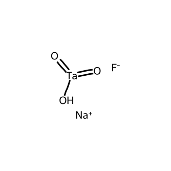 [F-].[Na+].[O]=[Ta](=[O])[OH]